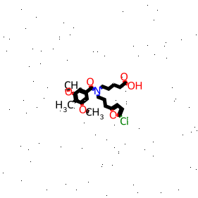 COc1cc(C(=O)N(CCCCC(=O)O)CCCc2ccc(Cl)o2)cc(OC)c1C